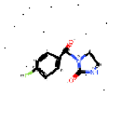 O=C1NCCN1C(=O)c1ccc(F)cc1